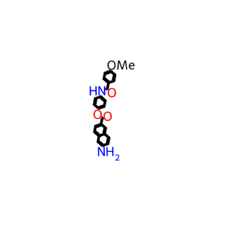 COc1ccc(C(=O)Nc2ccc(OC(=O)c3ccc4cc(N)ccc4c3)cc2)cc1